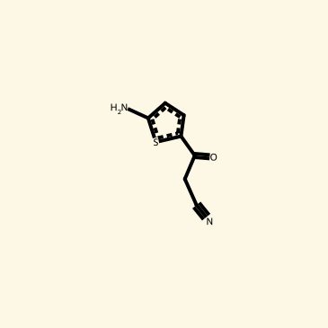 N#CCC(=O)c1ccc(N)s1